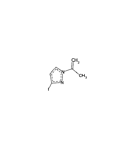 C=C(C)n1ccc(I)n1